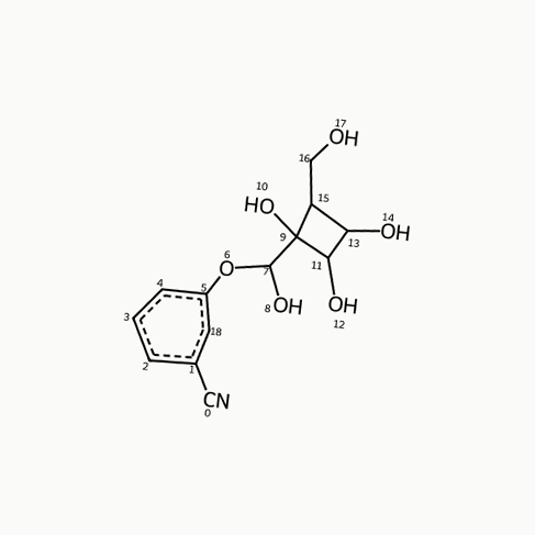 N#Cc1cccc(OC(O)C2(O)C(O)C(O)C2CO)c1